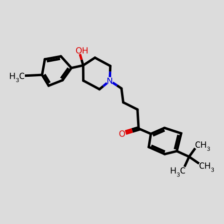 Cc1ccc(C2(O)CCN(CCCC(=O)c3ccc(C(C)(C)C)cc3)CC2)cc1